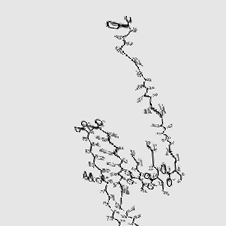 CCCCC(CC)C(=O)[O-].CCCCC(CC)C(=O)[O-].CCCCC(CC)C(=O)[O-].CCCCCCCCCCCCCCCCCC(=O)[O-].CCCCCCCCCCCCCCCCCC(=O)[O-].CCCCCCCCCCCCCCCCCC(=O)[O-].[Mo+6]